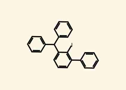 Ic1c(-c2ccccc2)cccc1C(c1ccccc1)c1ccccc1